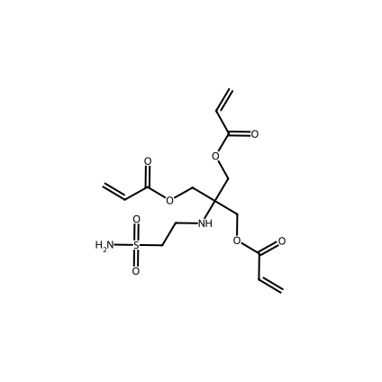 C=CC(=O)OCC(COC(=O)C=C)(COC(=O)C=C)NCCS(N)(=O)=O